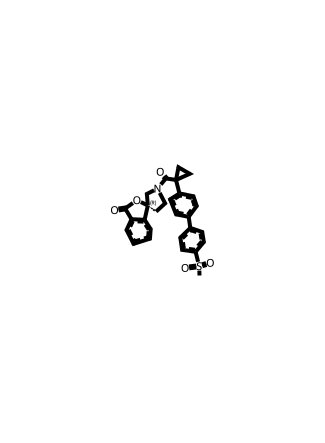 CS(=O)(=O)c1ccc(-c2ccc(C3(C(=O)N4CC[C@@]5(C4)OC(=O)c4ccccc45)CC3)cc2)cc1